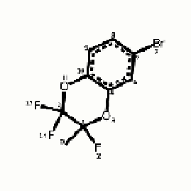 CC1(F)Oc2cc(Br)ccc2OC1(F)F